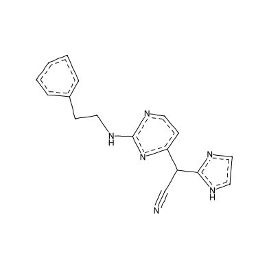 N#CC(c1ccnc(NCCc2ccccc2)n1)c1ncc[nH]1